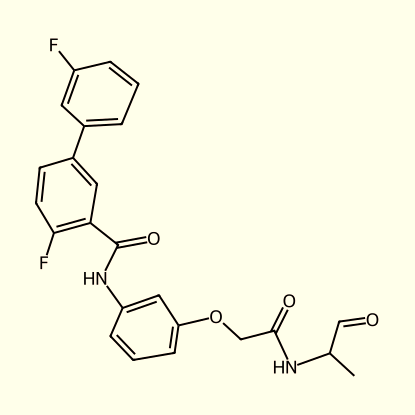 CC(C=O)NC(=O)COc1cccc(NC(=O)c2cc(-c3cccc(F)c3)ccc2F)c1